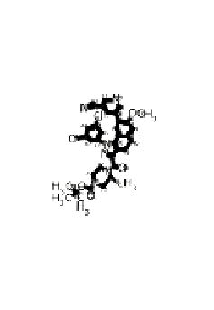 COc1cc2c(cc1-c1cncc(C#N)c1)-c1c(c(C(=O)N3CCN(C(=O)OC(C)(C)C)CC3C)nn1-c1cc(Cl)cc(Cl)c1)CC2